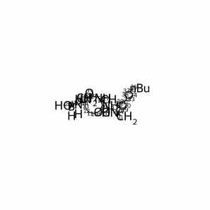 C=C(NCC(=O)NC1COCCCCC(C(=C)NCBO)NC(=O)CNC1=C)c1ccc(-c2ccc(CCCC)cc2)cc1